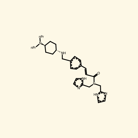 CCCN(CCC)[C@H]1CC[C@H](NCc2ccc(C=CC(=O)N(Cc3ncc[nH]3)Cc3ncc[nH]3)cc2)CC1